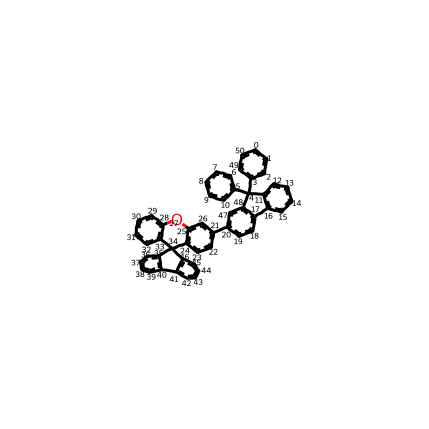 c1ccc(C2(c3ccccc3)c3ccccc3-c3ccc(-c4ccc5c(c4)Oc4ccccc4C54c5ccccc5-c5ccccc54)cc32)cc1